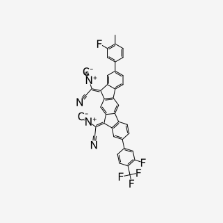 [C-]#[N+]/C(C#N)=C1/c2cc(-c3ccc(C(F)(F)F)c(F)c3)ccc2-c2cc3c(cc21)/C(=C(\C#N)[N+]#[C-])c1cc(-c2ccc(C)c(F)c2)ccc1-3